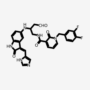 O=CCC(CNC(=O)c1cccn(Cc2ccc(F)c(F)c2)c1=O)Nc1ccc2c(c1)/C(=C/c1cnc[nH]1)C(=O)N2